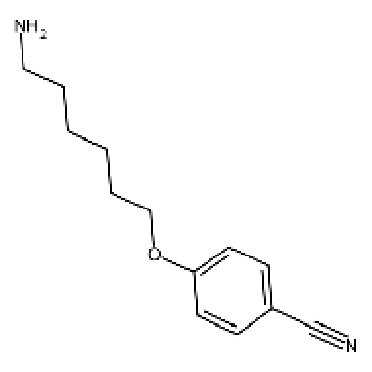 N#Cc1ccc(OCCCCCCN)cc1